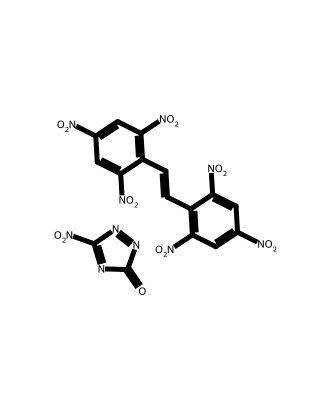 O=C1N=NC([N+](=O)[O-])=N1.O=[N+]([O-])c1cc([N+](=O)[O-])c(C=Cc2c([N+](=O)[O-])cc([N+](=O)[O-])cc2[N+](=O)[O-])c([N+](=O)[O-])c1